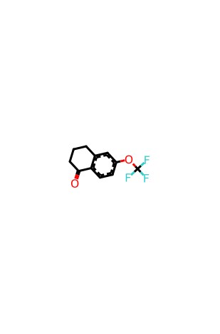 O=C1CCCc2cc(OC(F)(F)F)ccc21